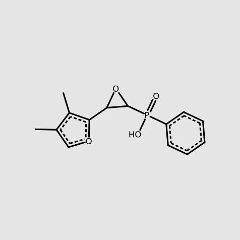 Cc1coc(C2OC2P(=O)(O)c2ccccc2)c1C